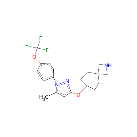 Cc1cc(OC2CCC3(CC2)CNC3)nn1-c1ccc(OC(F)(F)F)cc1